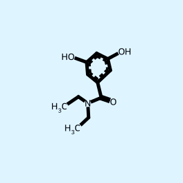 CCN(CC)C(=O)c1cc(O)cc(O)c1